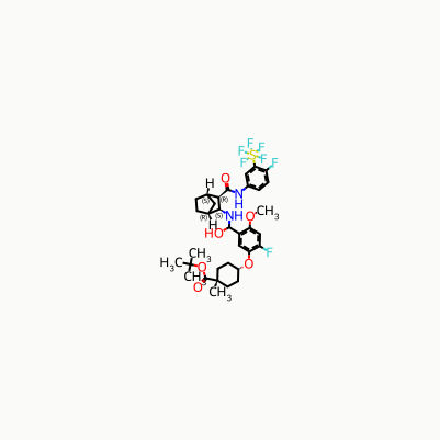 COc1cc(F)c(O[C@H]2CC[C@@](C)(C(=O)OC(C)(C)C)CC2)cc1C(O)N[C@H]1[C@@H]2CC[C@@H](C2)[C@H]1C(=O)Nc1ccc(F)c(S(F)(F)(F)(F)F)c1